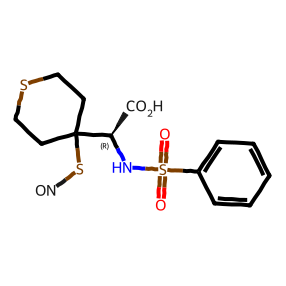 O=NSC1([C@H](NS(=O)(=O)c2ccccc2)C(=O)O)CCSCC1